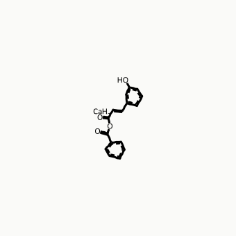 O=C(/C=C/c1cccc(O)c1)OC(=O)c1ccccc1.[CaH2]